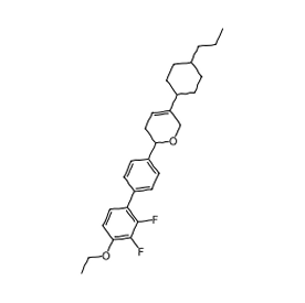 CCCC1CCC(C2=CCC(c3ccc(-c4ccc(OCC)c(F)c4F)cc3)OC2)CC1